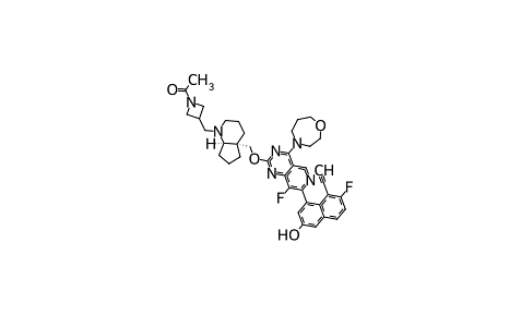 C#Cc1c(F)ccc2cc(O)cc(-c3ncc4c(N5CCCOCC5)nc(OC[C@]56CCC[C@H]5N(CC5CN(C(C)=O)C5)CCC6)nc4c3F)c12